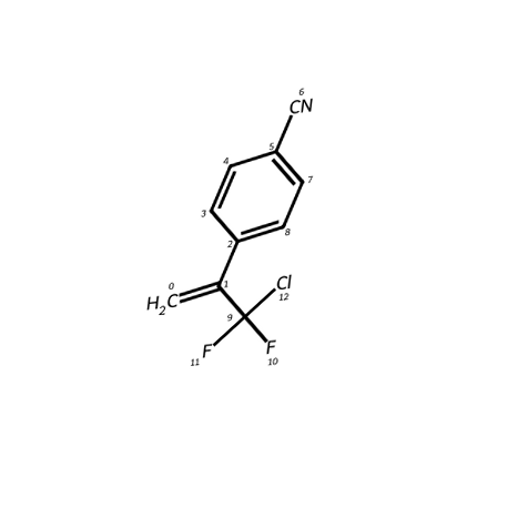 C=C(c1ccc(C#N)cc1)C(F)(F)Cl